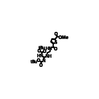 COC(=O)c1ccc(C(=O)NCCNC(=NC(=O)OC(C)(C)C)NC(=O)OC(C)(C)C)s1